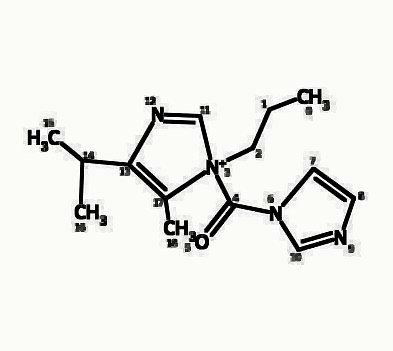 CCC[N+]1(C(=O)n2ccnc2)C=NC(C(C)C)=C1C